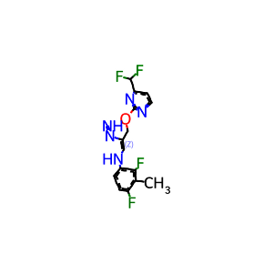 Cc1c(F)ccc(N/C=C(/COc2nccc(C(F)F)n2)N=N)c1F